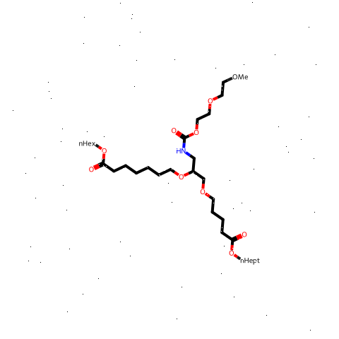 CCCCCCCOC(=O)CCCCOCC(CNC(=O)OCCOCCOC)OCCCCCCC(=O)OCCCCCC